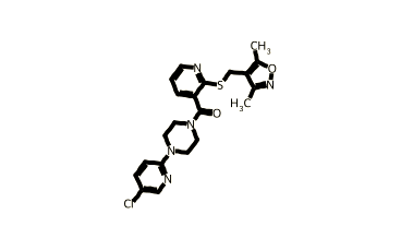 Cc1noc(C)c1CSc1ncccc1C(=O)N1CCN(c2ccc(Cl)cn2)CC1